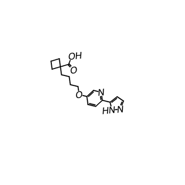 O=C(O)C1(CCCCOc2ccc(-c3ccn[nH]3)nc2)CCC1